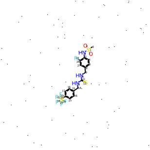 CS(=O)(=O)Nc1ccc(CNC(=S)NCc2ccc(S(F)(F)(F)(F)F)cc2)cc1F